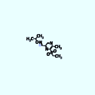 CCS(=O)(=O)c1nc(/C=N/OC(C)C)cnc1C